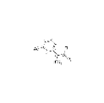 CC(=O)c1cccc(C(C)C(=O)Cl)c1